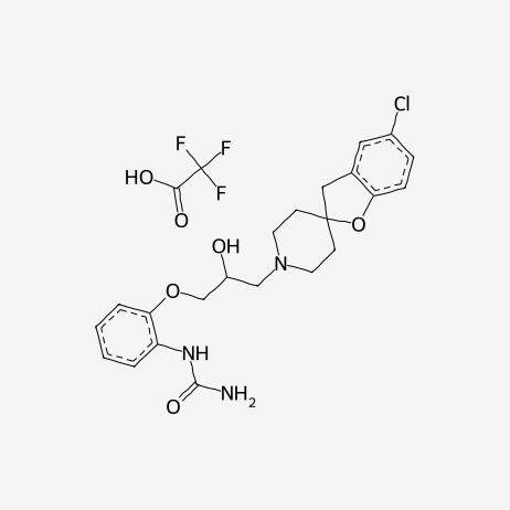 NC(=O)Nc1ccccc1OCC(O)CN1CCC2(CC1)Cc1cc(Cl)ccc1O2.O=C(O)C(F)(F)F